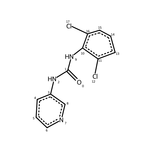 O=C(Nc1cccnc1)Nc1c(Cl)cccc1Cl